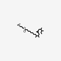 CCC(C)C(C)CC1CC1CC(C)C(C)CCCCCCCC(=O)OCCCN(C)C